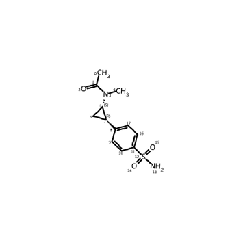 CC(=O)N(C)[C@H]1C[C@@H]1c1ccc(S(N)(=O)=O)cc1